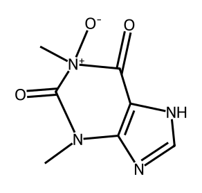 CN1C(=O)[N+](C)([O-])C(=O)c2[nH]cnc21